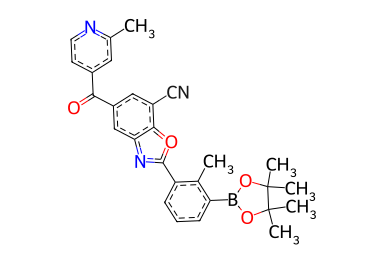 Cc1cc(C(=O)c2cc(C#N)c3oc(-c4cccc(B5OC(C)(C)C(C)(C)O5)c4C)nc3c2)ccn1